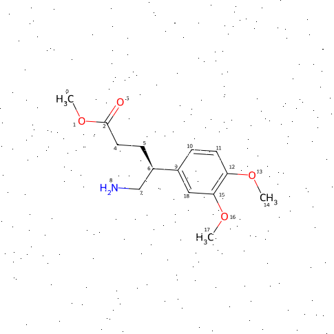 COC(=O)CC[C@H](CN)c1ccc(OC)c(OC)c1